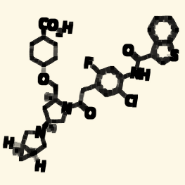 O=C(Nc1cc(F)c(CC(=O)N2C[C@@H](N3C[C@H]4C[C@H]4C3)C[C@H]2CO[C@H]2CC[C@H](C(=O)O)CC2)cc1Cl)c1csc2ccccc12